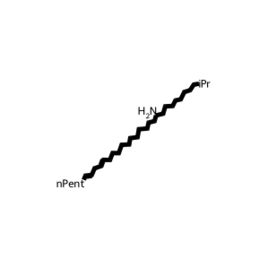 CCCCC/C=C/C/C=C/CCCCCCCCCCCC(N)CCCCCCCCC(C)C